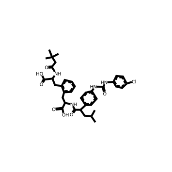 CC(C)CC(C(=O)NC(Cc1ccccc1CC(NC(=O)CC(C)(C)C)C(=O)O)C(=O)O)c1ccc(NC(=O)Nc2ccc(Cl)cc2)cc1